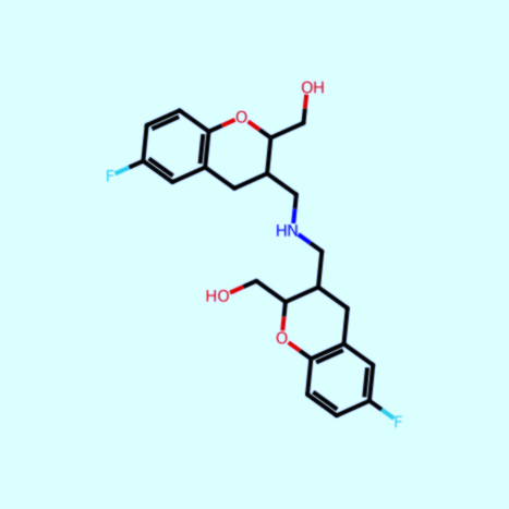 OCC1Oc2ccc(F)cc2CC1CNCC1Cc2cc(F)ccc2OC1CO